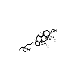 CC[C@H](O)CCC[C@H]1CCC2[C@]3(N)CC[C@]4(N)C[C@@H](O)CC[C@]4(C)C3CC[C@@]21C